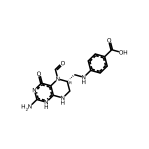 Nc1nc(=O)c2c([nH]1)NC[C@@H](CNc1ccc(C(=O)O)cc1)N2C=O